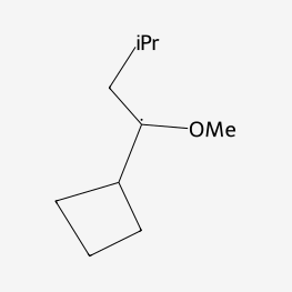 CO[C](CC(C)C)C1CCC1